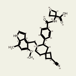 COc1cc(C)c2[nH]ccc2c1CN1CCC2(CC(C#N)C2)CC1c1ccc(C(=O)NC2(C(=O)O)COC2)cc1